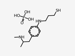 CNC(C)Cc1ccc(NCCCS)cc1.O=P(O)(O)O